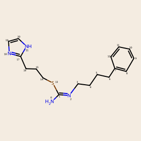 NC(=NCCCCc1ccccc1)SCCCc1ncc[nH]1